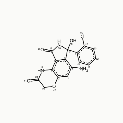 Nc1cc2c(c3c1C(O)(c1ccccc1Cl)NC3=O)NC(=O)CO2